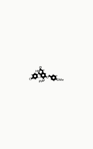 COc1ccc(COc2cc3c(cc2OC(C)C)[C@H](c2ccc(Cl)cc2)NC(=O)C3)cc1